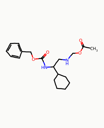 CC(=O)OCNCC(NC(=O)OCc1ccccc1)C1CCCCC1